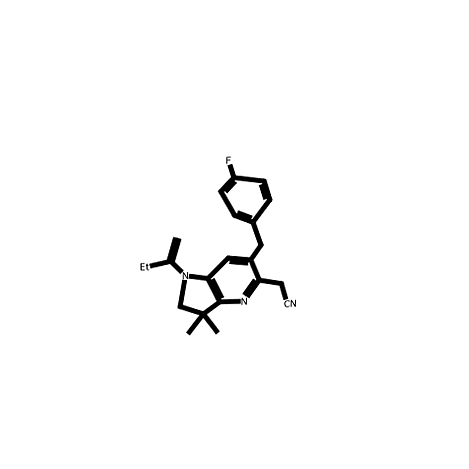 C=C(CC)N1CC(C)(C)c2nc(CC#N)c(Cc3ccc(F)cc3)cc21